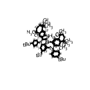 Cc1cc(C(C)(C)C)ccc1N1c2cc3c(cc2B2c4sc5cc6c(cc5c4N(c4ccc(C(C)(C)C)cc4)c4cc(C(C)(C)C)cc1c42)C(C)(C)CCC6(C)C)C(C)(C)CCC3(C)C